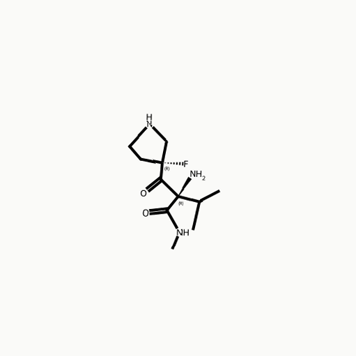 CNC(=O)[C@](N)(C(=O)[C@@]1(F)CCNC1)C(C)C